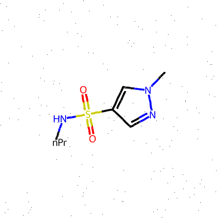 [CH2]CCNS(=O)(=O)c1cnn(C)c1